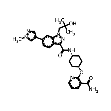 Cn1cc(-c2ccc3c(C(=O)N[C@H]4CC[C@H](Oc5ncccc5C(N)=O)CC4)nn(CC(C)(C)O)c3c2)cn1